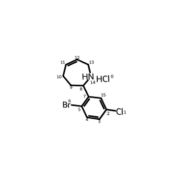 Cl.Clc1ccc(Br)c(C2CCC=CCN2)c1